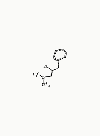 CN(C)C[C](Cl)Cc1ccccc1